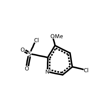 COc1cc(Cl)cnc1S(=O)(=O)Cl